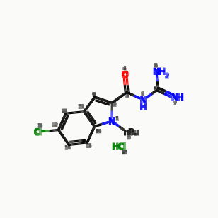 CCCCn1c(C(=O)NC(=N)N)cc2cc(Cl)ccc21.Cl